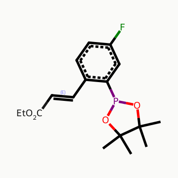 CCOC(=O)/C=C/c1ccc(F)cc1P1OC(C)(C)C(C)(C)O1